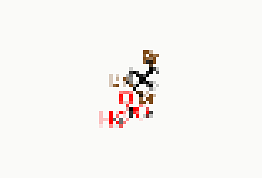 CC(C)(CBr)C(Br)(Br)OC(=O)O